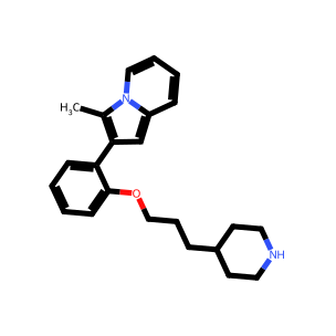 Cc1c(-c2ccccc2OCCCC2CCNCC2)cc2ccccn12